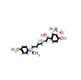 Cc1ccc(N(C)CCCCNCC(O)c2ccc(O)c([S+](C)[O-])c2)cc1